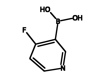 OB(O)c1cnccc1F